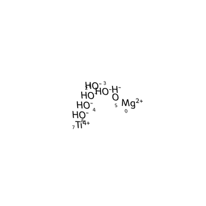 [Mg+2].[OH-].[OH-].[OH-].[OH-].[OH-].[OH-].[Ti+4]